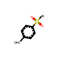 CC(C)S(=O)(=O)c1ccc(C=O)cc1